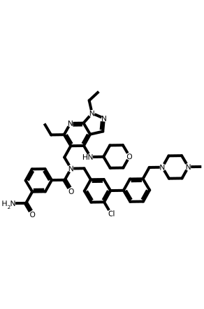 CCc1nc2c(cnn2CC)c(NC2CCOCC2)c1CN(Cc1ccc(Cl)c(-c2cccc(CN3CCN(C)CC3)c2)c1)C(=O)c1cccc(C(N)=O)c1